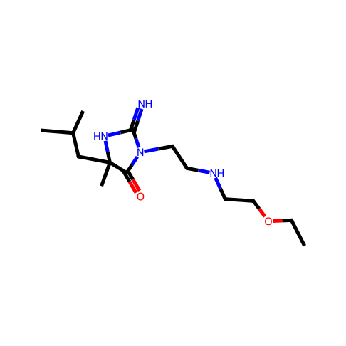 CCOCCNCCN1C(=N)NC(C)(CC(C)C)C1=O